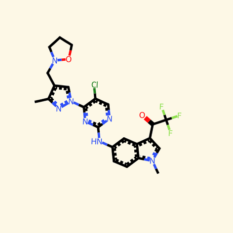 Cc1nn(-c2nc(Nc3ccc4c(c3)c(C(=O)C(F)(F)F)cn4C)ncc2Cl)cc1CN1CCCO1